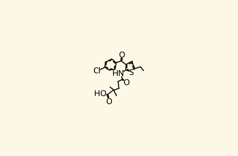 CCc1cc(C(=O)c2ccc(Cl)cc2)c(NC(=O)CCC(C)(C)C(=O)O)s1